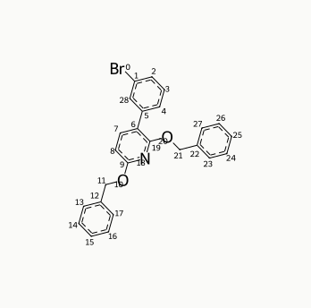 Brc1cccc(-c2ccc(OCc3ccccc3)nc2OCc2ccccc2)c1